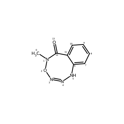 Cn1onn[nH]c2ccccc2c1=O